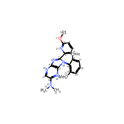 CCOc1cccc(-c2nc3ncc(N(C)C)nc3n2-c2c(OC)cccc2OC)n1